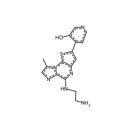 Cc1cnc2c(NCCN)nc3cc(-c4ccncc4O)sc3n12